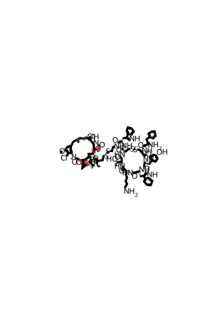 COc1cc2cc(c1Cl)N(C)C(=O)C[C@@](OC(=O)[C@H](C)N(C)C(=O)CCSSCCNC(=O)[C@H](Cc1c[nH]c3ccccc13)NC(=O)[C@@H]1CSSC[C@H](NC(=O)[C@H](N)Cc3ccccc3)C(=O)N[C@@H](Cc3ccc(O)cc3)C(=O)N[C@H](Cc3c[nH]c4ccccc34)C(=O)N[C@@H](CCCCCN)C(=O)N[C@@H]([C@@H](C)O)C(=O)N1)(C1(OC)CC1)[C@@]1(C)CC(C)(O1)[C@@H]1CC(NC(=O)O1)[C@H](OC)/C=C/C=C(\C)C2